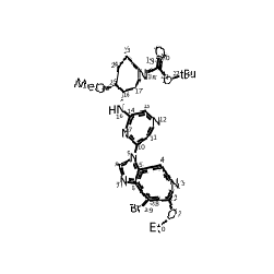 CCOc1ncc2c(ncn2-c2cncc(N[C@H]3CN(C(=O)OC(C)(C)C)CC[C@@H]3OC)n2)c1Br